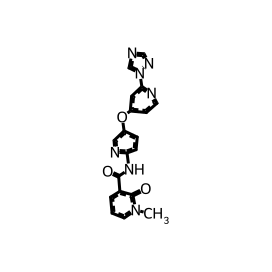 Cn1cccc(C(=O)Nc2ccc(Oc3ccnc(-n4cncn4)c3)cn2)c1=O